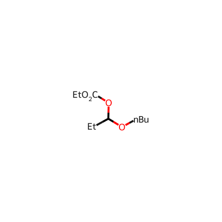 CCCCOC(CC)OC(=O)OCC